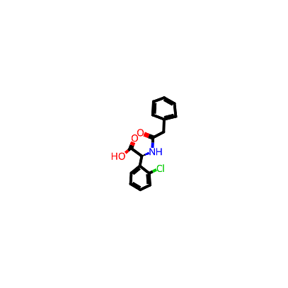 O=C(Cc1ccccc1)N[C@H](C(=O)O)c1ccccc1Cl